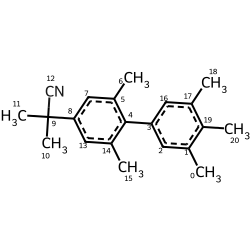 Cc1cc(-c2c(C)cc(C(C)(C)C#N)cc2C)cc(C)c1C